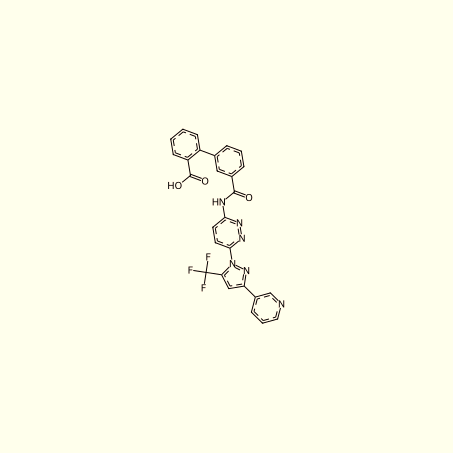 O=C(Nc1ccc(-n2nc(-c3cccnc3)cc2C(F)(F)F)nn1)c1cccc(-c2ccccc2C(=O)O)c1